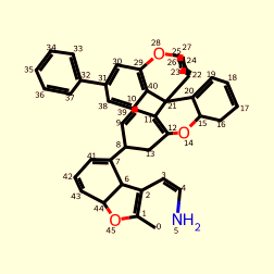 CC1=C(/C=C\N)C2C(C3C=CC4=C(C3)OC3CC=CC=C3C43c4ccccc4Oc4cc(-c5ccccc5)ccc43)=CC=CC2O1